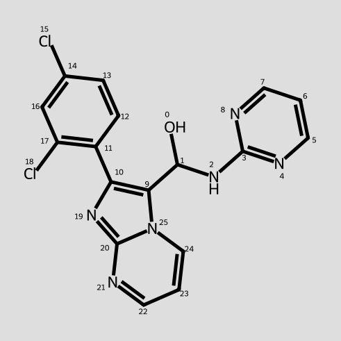 OC(Nc1ncccn1)c1c(-c2ccc(Cl)cc2Cl)nc2ncccn12